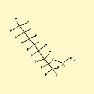 NC(=O)OC(F)(C(F)(F)F)C(F)(F)C(F)(F)C(F)(F)C(F)(F)C(F)(F)C(F)(F)F